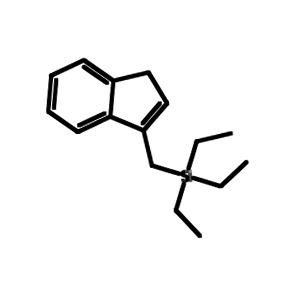 CC[Si](CC)(CC)CC1=CCc2ccccc21